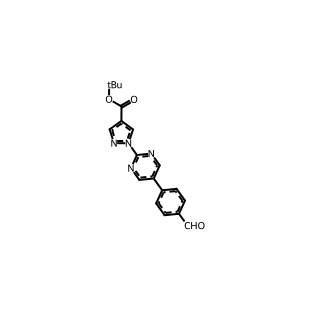 CC(C)(C)OC(=O)c1cnn(-c2ncc(-c3ccc(C=O)cc3)cn2)c1